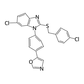 Clc1ccc(CSc2nc3ccc(Cl)cc3n2-c2ccc(-c3cnco3)cc2)cc1